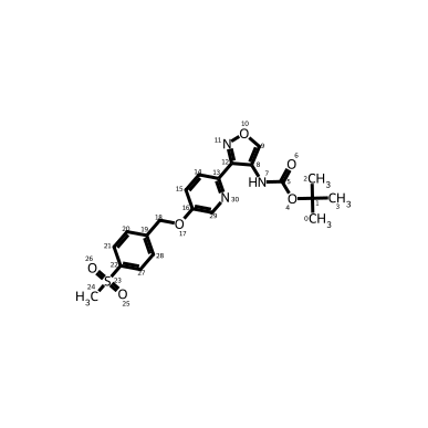 CC(C)(C)OC(=O)Nc1conc1-c1ccc(OCc2ccc(S(C)(=O)=O)cc2)cn1